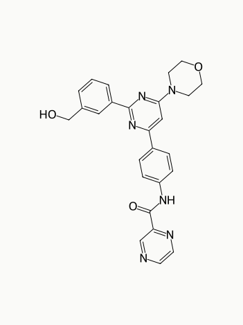 O=C(Nc1ccc(-c2cc(N3CCOCC3)nc(-c3cccc(CO)c3)n2)cc1)c1cnccn1